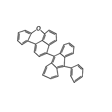 c1ccc(-c2c3ccccc3c(-c3ccc4c5c(cccc35)Oc3ccccc3-4)c3ccccc23)cc1